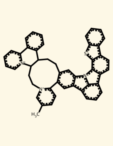 Cc1ccc2[n+](c1)CCC1C(CCc3cc4c(cc3-2)c2cccc3c5ccc6c7ccccc7sc6c5n4c23)c2ccccc2-c2cccc[n+]21